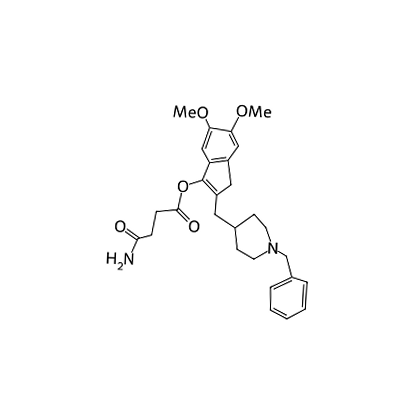 COc1cc2c(cc1OC)C(OC(=O)CCC(N)=O)=C(CC1CCN(Cc3ccccc3)CC1)C2